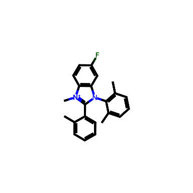 Cc1ccccc1-c1n(-c2c(C)cccc2C)c2cc(F)ccc2[n+]1C